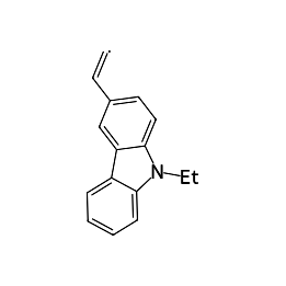 [CH]=Cc1ccc2c(c1)c1ccccc1n2CC